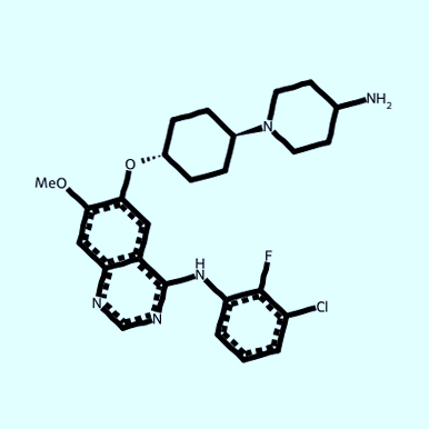 COc1cc2ncnc(Nc3cccc(Cl)c3F)c2cc1O[C@H]1CC[C@H](N2CCC(N)CC2)CC1